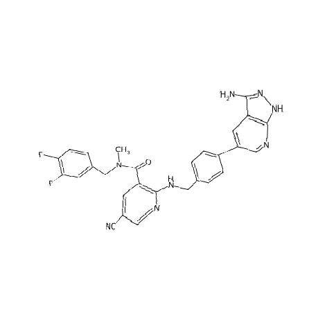 CN(Cc1ccc(F)c(F)c1)C(=O)c1cc(C#N)cnc1NCc1ccc(-c2cnc3[nH]nc(N)c3c2)cc1